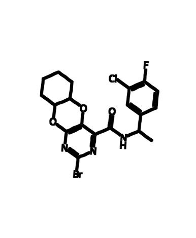 CC(NC(=O)c1nc(Br)nc2c1OC1CCCCC1O2)c1ccc(F)c(Cl)c1